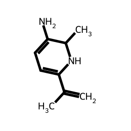 C=C(C)C1=CC=C(N)C(C)N1